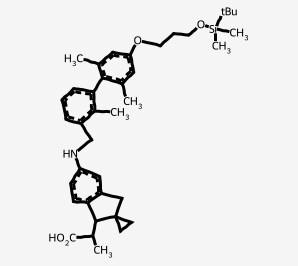 Cc1cc(OCCCO[Si](C)(C)C(C)(C)C)cc(C)c1-c1cccc(CNc2ccc3c(c2)CC2(CC2)C3C(C)C(=O)O)c1C